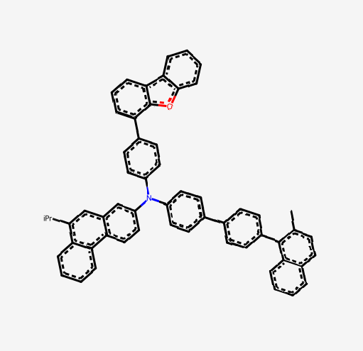 Cc1ccc2ccccc2c1-c1ccc(-c2ccc(N(c3ccc(-c4cccc5c4oc4ccccc45)cc3)c3ccc4c(c3)cc(C(C)C)c3ccccc34)cc2)cc1